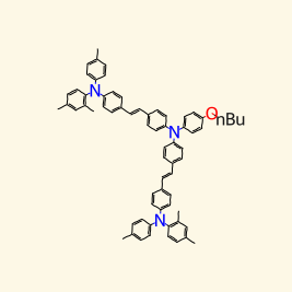 CCCCOc1ccc(N(c2ccc(/C=C/c3ccc(N(c4ccc(C)cc4)c4ccc(C)cc4C)cc3)cc2)c2ccc(/C=C/c3ccc(N(c4ccc(C)cc4)c4ccc(C)cc4C)cc3)cc2)cc1